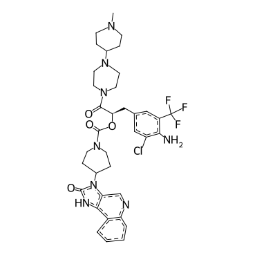 CN1CCC(N2CCN(C(=O)[C@@H](Cc3cc(Cl)c(N)c(C(F)(F)F)c3)OC(=O)N3CCC(n4c(=O)[nH]c5c6ccccc6ncc54)CC3)CC2)CC1